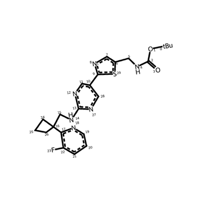 CC(C)(C)OC(=O)NCc1cnc(-c2cnc(NCC3(c4ncccc4F)CCC3)nc2)s1